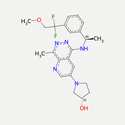 COCC(F)(F)c1cccc([C@@H](C)Nc2nnc(C)c3ncc(N4CC[C@H](O)C4)cc23)c1